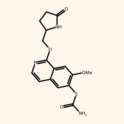 COc1cc2c(OCC3CCC(=O)N3)nccc2cc1SC(N)=O